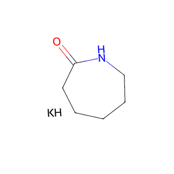 O=C1CCCCCN1.[KH]